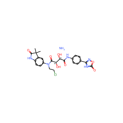 CC1(C)C(=O)Nc2ccc(N(CCCl)C(=O)[C@H](O)[C@@H](O)C(=O)Nc3ccc(-c4noc(=O)[nH]4)cc3)cc21.N